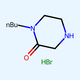 Br.CCCCN1CCNCC1=O